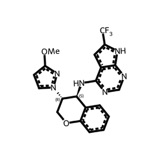 COc1ccn([C@H]2COc3ccccc3[C@@H]2Nc2ncnc3[nH]c(C(F)(F)F)cc23)n1